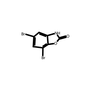 O=c1[nH]c2cc(Br)cc(Br)c2o1